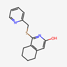 Oc1cc2c(c(SCc3ccccn3)n1)CCCC2